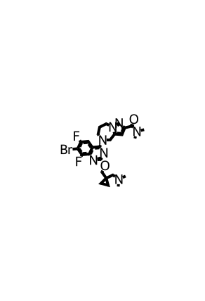 CN(C)CC1(COc2nc(N3CCCn4nc(C(=O)N(C)C)cc4C3)c3cc(F)c(Br)c(F)c3n2)CC1